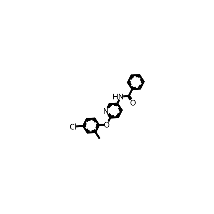 Cc1cc(Cl)ccc1Oc1ccc(NC(=O)c2ccccc2)cn1